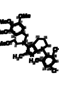 COCCN(Cc1cc(OC)c(OC)c(OC)c1)c1c2c(nn1C)N(c1c(C)cc(C)cc1C)CCC2